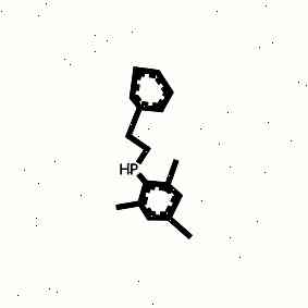 Cc1cc(C)c(PCCc2ccccc2)c(C)c1